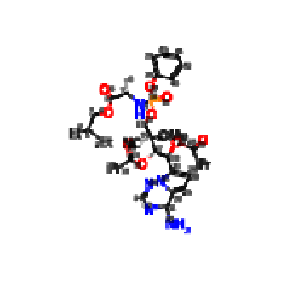 CCC(CC)COC(=O)[C@H](C)NP(=O)(OC[C@@](C#N)(OC)[C@@H](OC(=O)C(C)C)[C@@H](OC(=O)C(C)C)c1ccc2c(N)ncnn12)Oc1ccccc1